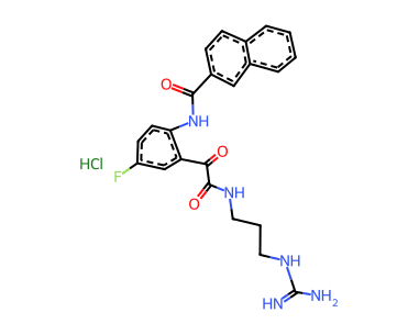 Cl.N=C(N)NCCCNC(=O)C(=O)c1cc(F)ccc1NC(=O)c1ccc2ccccc2c1